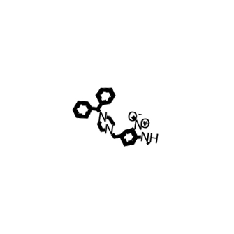 CNc1ccc(CN2CCN(C(c3ccccc3)c3ccccc3)CC2)cc1[N+](=O)[O-]